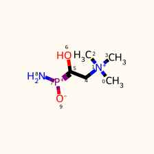 C[N+](C)(C)C/C(O)=[P+](/N)[O-]